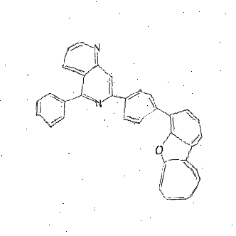 c1ccc(-c2nc(-c3ccc(-c4cccc5c4oc4ccccc45)cc3)cc3ncccc23)cc1